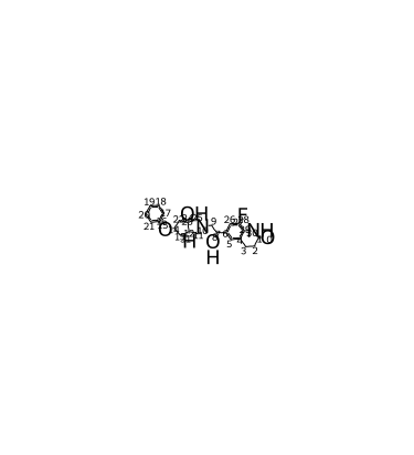 O=C1CCc2cc([C@H](O)CN3C[C@H]4C[C@H](Oc5ccccc5)C[C@@]4(O)C3)cc(F)c2N1